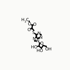 CCOC(=O)C(=O)CSc1ncnc2c1ncn2C1OC(CO)C(O)C1O